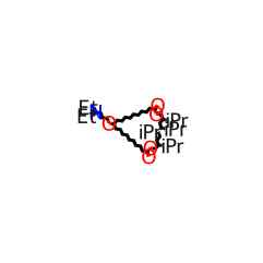 CCN(CC)CCCOC(CCCCCCCCCC(=O)OCC(CCC(C)C)C(C)C)CCCCCCCCCC(=O)OCC(CCC(C)C)C(C)C